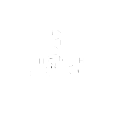 CC(=O)OC12CCCC[C@@]1(c1cccc(O)c1)C[C@@H](NC(=O)C(=Cc1ccccc1)C(F)(F)F)N(C)C2